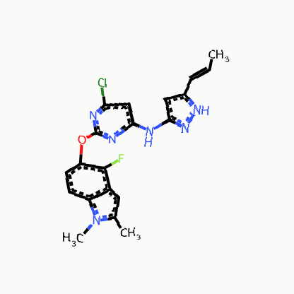 C/C=C/c1cc(Nc2cc(Cl)nc(Oc3ccc4c(cc(C)n4C)c3F)n2)n[nH]1